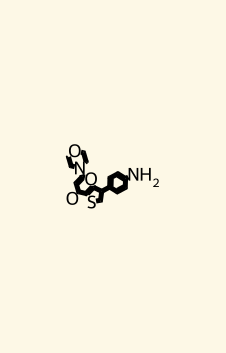 Nc1ccc(C2CSc3c2oc(N2CCOCC2)cc3=O)cc1